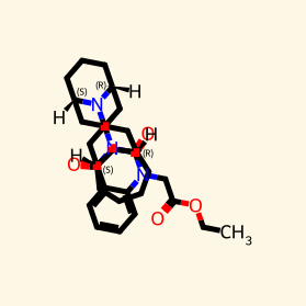 CCOC(=O)Cn1c(=O)n(C2C[C@H]3CCC[C@@H](C2)N3C2C[C@H]3CCCC[C@@H](C2)C3)c(=O)c2ccccc21